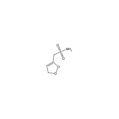 NS(=O)(=O)CC1=CCOO1